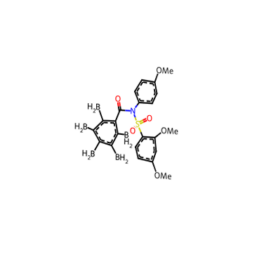 Bc1c(B)c(B)c(C(=O)N(c2ccc(OC)cc2)S(=O)(=O)c2ccc(OC)cc2OC)c(B)c1B